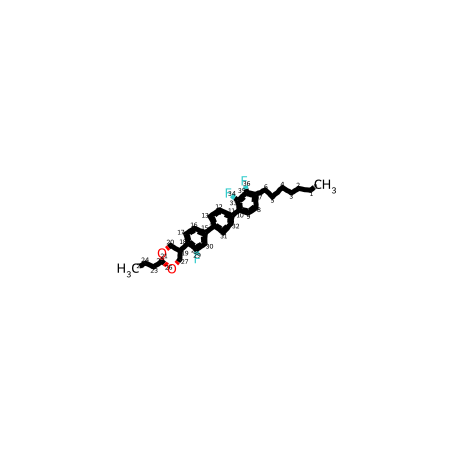 CCCCCCCc1ccc(-c2ccc(-c3ccc(C4COC(CCC)OC4)c(F)c3)cc2)c(F)c1F